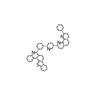 c1ccc(-c2ccc3ccc4ccc(-c5ccc(-c6cccc(-c7nc8ccccc8c8c7ccc7c9ccccc9sc78)c6)nc5)nc4c3n2)cc1